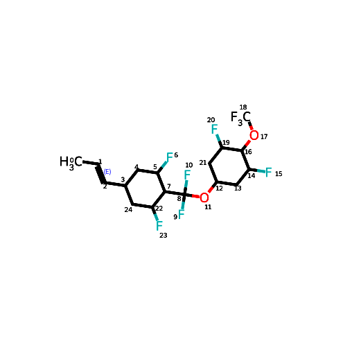 C/C=C/C1CC(F)C(C(F)(F)OC2CC(F)C(OC(F)(F)F)C(F)C2)C(F)C1